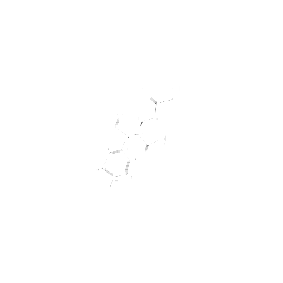 COC(=O)CC[C@@H](C(=O)O)N(C=O)c1ccc(F)cc1